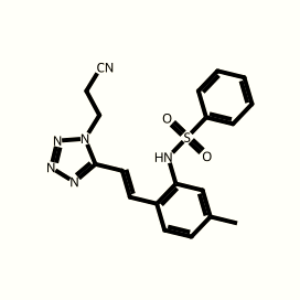 Cc1ccc(C=Cc2nnnn2CCC#N)c(NS(=O)(=O)c2ccccc2)c1